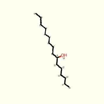 CCCCCC[CH]CCC(O)CCCCCC